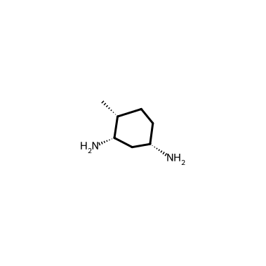 C[C@@H]1CC[C@H](N)C[C@@H]1N